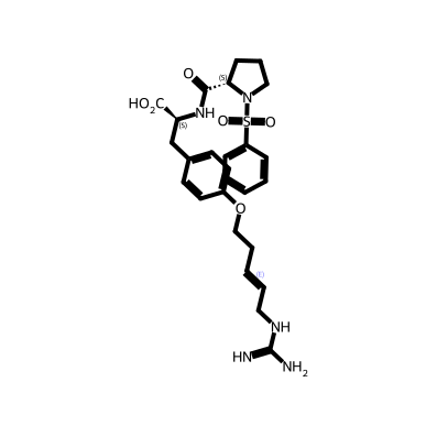 N=C(N)NC/C=C/CCOc1ccc(C[C@H](NC(=O)[C@@H]2CCCN2S(=O)(=O)c2ccccc2)C(=O)O)cc1